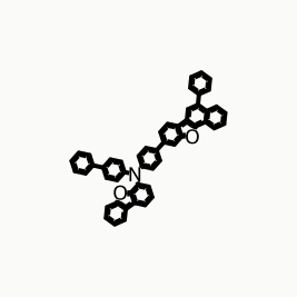 c1ccc(-c2ccc(N(c3ccc(-c4ccc5c(c4)oc4c6ccccc6c(-c6ccccc6)cc54)cc3)c3cccc4c3oc3ccccc34)cc2)cc1